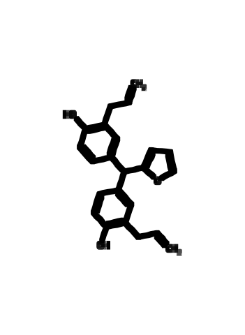 C=CCc1cc(C(c2ccc(O)c(CC=C)c2)c2ccco2)ccc1O